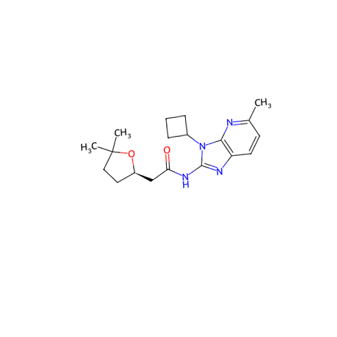 Cc1ccc2nc(NC(=O)C[C@H]3CCC(C)(C)O3)n(C3CCC3)c2n1